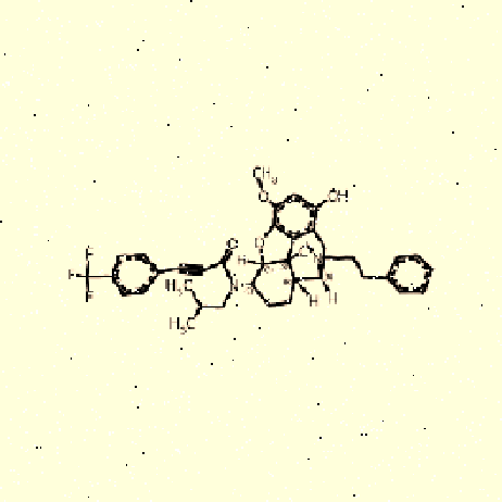 COc1cc(O)c2c3c1O[C@H]1[C@@H](N(CC(C)C)C(=O)C#Cc4ccc(C(F)(F)F)cc4)CC[C@H]4[C@@H](C2)N(CCc2ccccc2)CC[C@@]341